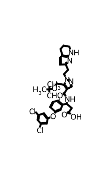 CC(C)(C)OCc1c(C(=O)NC(CC(=O)O)c2cccc(Oc3cc(Cl)cc(Cl)c3)c2)cnn1CCc1ccc2c(n1)NCCC2